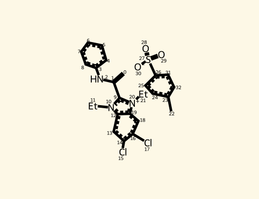 C=C(Nc1ccccc1)c1n(CC)c2cc(Cl)c(Cl)cc2[n+]1CC.Cc1ccc(S(=O)(=O)[O-])cc1